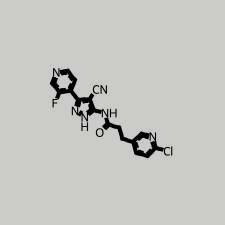 N#Cc1c(-c2ccncc2F)n[nH]c1NC(=O)CCc1ccc(Cl)nc1